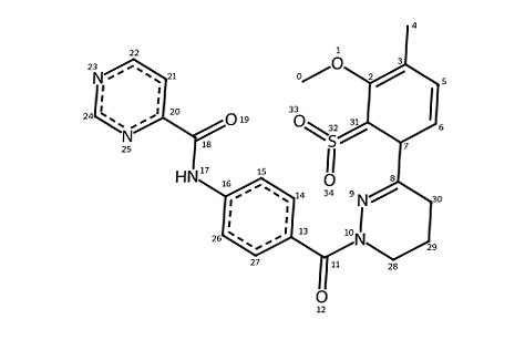 COC1=C(C)C=CC(C2=NN(C(=O)c3ccc(NC(=O)c4ccncn4)cc3)CCC2)C1=S(=O)=O